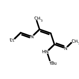 CC/C=N/C(C)=C\C(=N/C)NC(C)(C)C